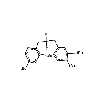 CC(C)(C)c1ccc(CC(F)(F)Cc2ccc(C(C)(C)C)c(C(C)(C)C)c2)c(C(C)(C)C)c1